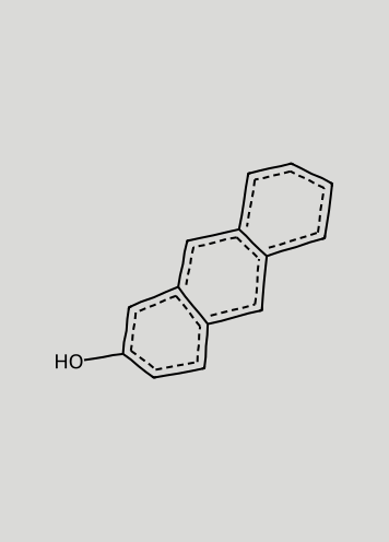 Oc1ccc2cc3ccccc3cc2c1